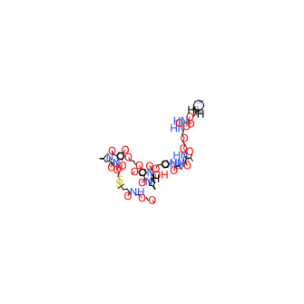 C=C1CC2[C@H](O)N(C(=O)OCCSSC(C)(C)CCC(=O)NCCOCCOC)c3cc(OCCCOc4cc5c(cc4OC)C(=O)N4CC(=C)C[C@H]4[C@H](O)N5C(=O)OCc4ccc(NC(=O)[C@H](C)NC(=O)[C@@H](NC(=O)OCCOCCNS(=O)(=O)NC(=O)OC[C@@H]5[C@@H]6CC/C=C\CC[C@@H]65)C(C)C)cc4)c(OC)cc3C(=O)N2C1